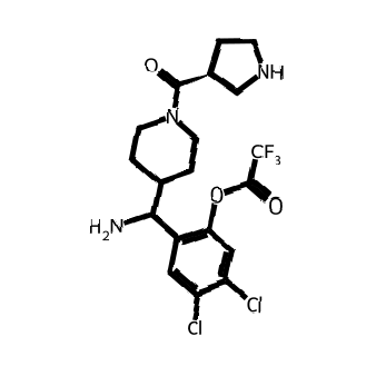 NC(c1cc(Cl)c(Cl)cc1OC(=O)C(F)(F)F)C1CCN(C(=O)[C@H]2CCNC2)CC1